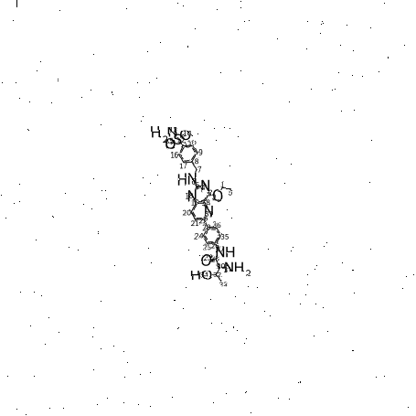 CCOc1nc(NCc2ccc(S(N)(=O)=O)cc2)nc2ccc(-c3ccc(NC(=O)[C@@H](N)[C@@H](C)O)cc3)nc12